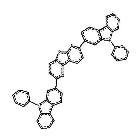 c1ccc(-n2c3ccccc3c3ccc(-c4ccc5c(n4)sc4ccc(-c6ccc7c8ccccc8n(-c8ccccc8)c7c6)nc45)cc32)cc1